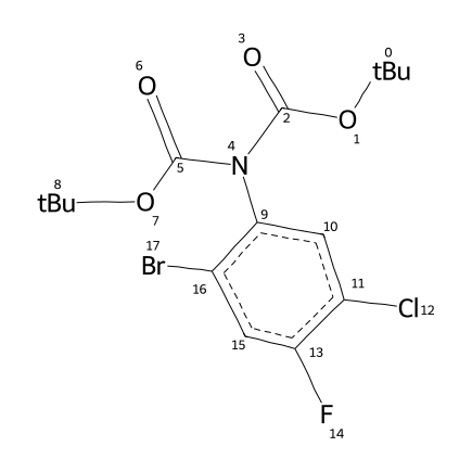 CC(C)(C)OC(=O)N(C(=O)OC(C)(C)C)c1cc(Cl)c(F)cc1Br